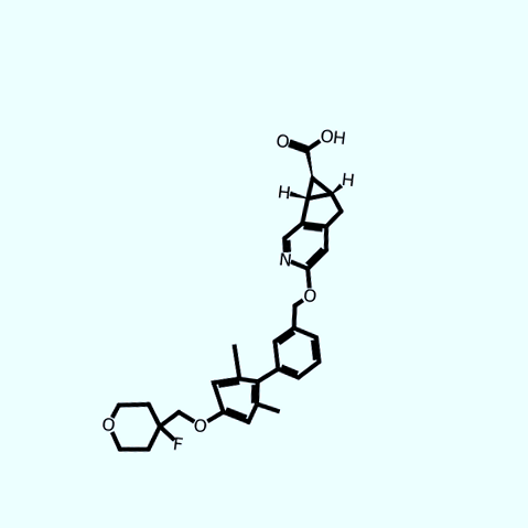 Cc1cc(OCC2(F)CCOCC2)cc(C)c1-c1cccc(COc2cc3c(cn2)[C@H]2[C@@H](C3)[C@@H]2C(=O)O)c1